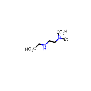 CCN(CCNCC(=O)O)C(=O)O